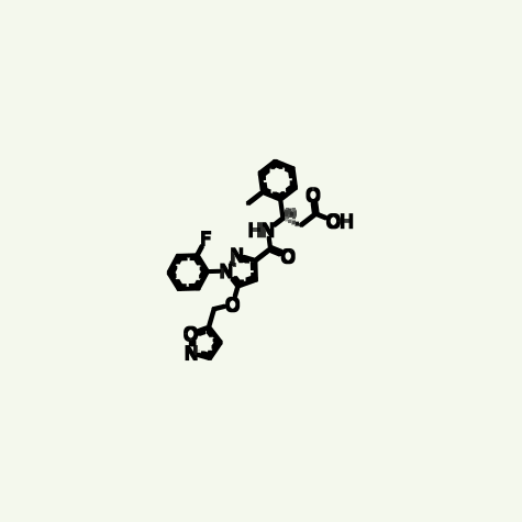 Cc1ccccc1[C@H](CC(=O)O)NC(=O)c1cc(OCc2ccno2)n(-c2ccccc2F)n1